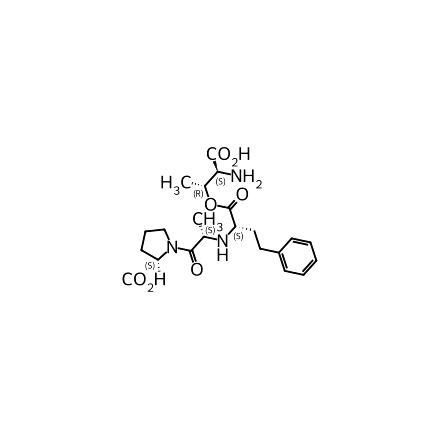 C[C@H](N[C@@H](CCc1ccccc1)C(=O)O[C@H](C)[C@H](N)C(=O)O)C(=O)N1CCC[C@H]1C(=O)O